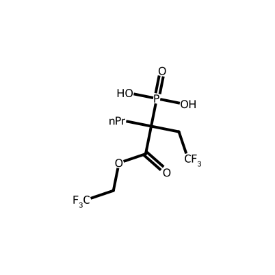 CCCC(CC(F)(F)F)(C(=O)OCC(F)(F)F)P(=O)(O)O